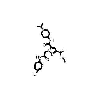 CCOC(=O)c1cc(C(=O)NC2CCN(C(C)C)CC2)n(CC(=O)Nc2ccc(Cl)cn2)n1